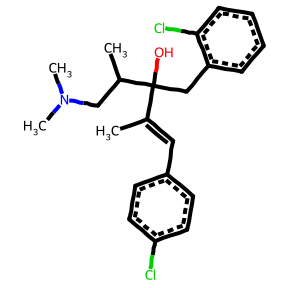 CC(=Cc1ccc(Cl)cc1)C(O)(Cc1ccccc1Cl)C(C)CN(C)C